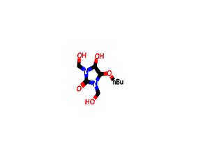 CCCCOC1C(O)N(CO)C(=O)N1CO